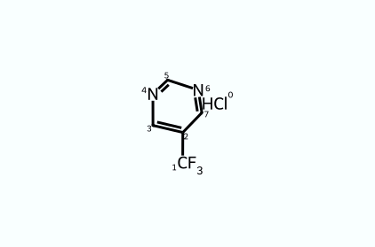 Cl.FC(F)(F)c1cncnc1